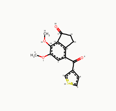 COc1cc(C(=O)c2ccsc2)c2c(c1OC)C(=O)CC2